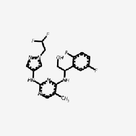 Cc1cnc(Nc2cnn(CC(F)F)c2)nc1NC(CO)c1cc(F)ccc1F